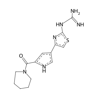 N=C(N)Nc1nc(-c2c[nH]c(C(=O)N3CCCCC3)c2)cs1